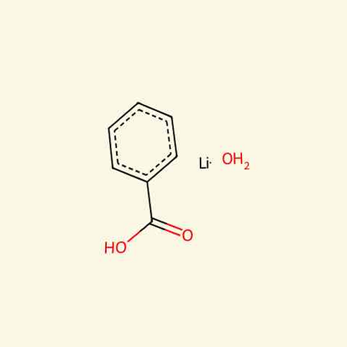 O.O=C(O)c1ccccc1.[Li]